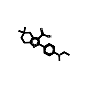 CCN(C)c1ccc(-c2sc3c(c2C(=O)O)CC(C)(C)CC3)cc1